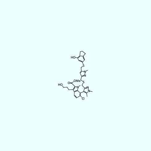 COC(=O)c1c(CCCO)c2ccc(Cl)c(-c3c(CSCc4cc(CSc5cc(O)c6c(c5)CCC6)n(C)n4)nn(C)c3C)c2n1C